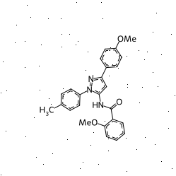 COc1ccc(-c2cc(NC(=O)c3ccccc3OC)n(-c3ccc(C)cc3)n2)cc1